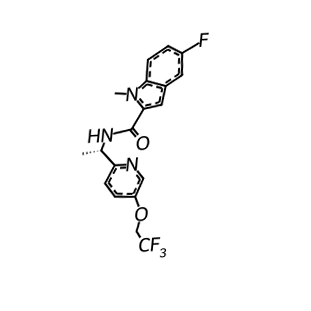 C[C@H](NC(=O)c1cc2cc(F)ccc2n1C)c1ccc(OCC(F)(F)F)cn1